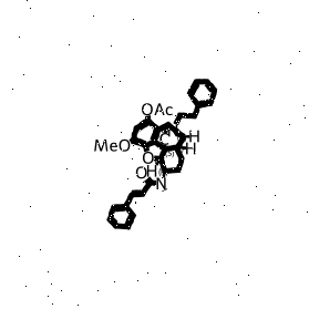 COc1cc(OC(C)=O)c2c3c1O[C@H]1[C@H](N(C)C(=O)C=Cc4ccccc4)CC[C@H]4[C@@H](C2)N(CCc2ccccc2)CC[C@@]341